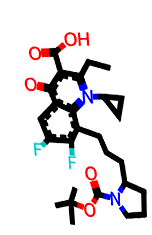 CCc1c(C(=O)O)c(=O)c2cc(F)c(F)c(CCCC3CCCN3C(=O)OC(C)(C)C)c2n1C1CC1